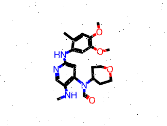 CNc1cnc(Nc2cc(OC)c(OC)cc2C)cc1N(C=O)C1CCOCC1